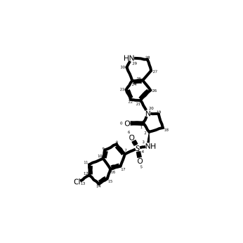 O=C1[C@H](NS(=O)(=O)c2ccc3cc(Cl)ccc3c2)CCN1c1ccc2c(c1)CCNC2